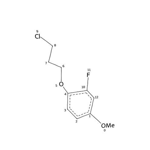 COc1ccc(OCCCCl)c(F)c1